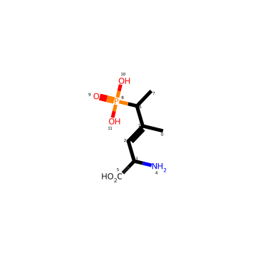 C/C(=C\C(N)C(=O)O)C(C)P(=O)(O)O